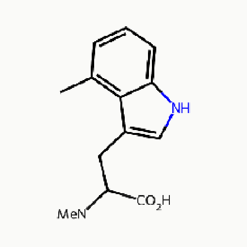 CNC(Cc1c[nH]c2cccc(C)c12)C(=O)O